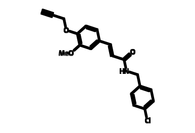 C#CCOc1ccc(C=CC(=O)NCc2ccc(Cl)cc2)cc1OC